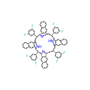 Fc1cc(F)cc(-c2c3nc(c(-c4cc(F)cc(F)c4)c4[nH]c(c(-c5cc(F)cc(F)c5)c5nc(c(-c6cc(F)cc(F)c6)c6[nH]c2c2cc7ccccc7cc62)-c2cc6ccccc6cc2-5)c2cc5ccccc5cc42)-c2cc4ccccc4cc2-3)c1